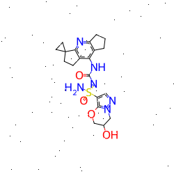 NS(=O)(=NC(=O)Nc1c2c(nc3c1CCC31CC1)CCC2)c1cnn2c1OCC(O)C2